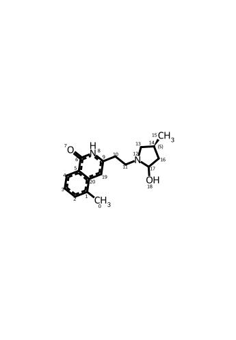 Cc1cccc2c(=O)[nH]c(CCN3C[C@@H](C)CC3O)cc12